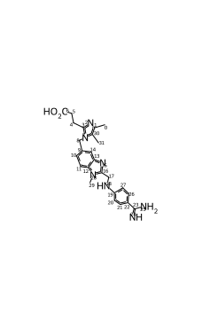 Cc1nc(CCC(=O)O)n(Cc2ccc3c(c2)nc(CNc2ccc(C(=N)N)cc2)n3C)c1C